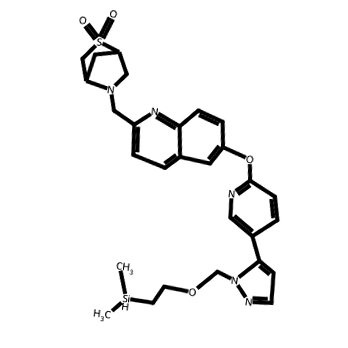 C[SiH](C)CCOCn1nccc1-c1ccc(Oc2ccc3nc(CN4CC5CC4CS5(=O)=O)ccc3c2)nc1